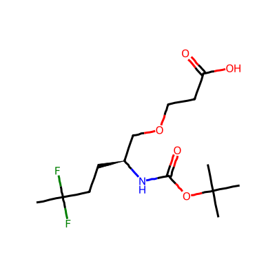 CC(F)(F)CC[C@@H](COCCC(=O)O)NC(=O)OC(C)(C)C